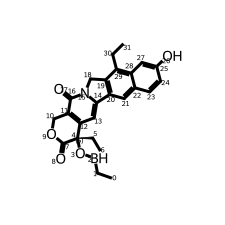 CCBO[C@]1(CC)C(=O)OCc2c1cc1n(c2=O)Cc2c-1cc1ccc(O)cc1c2CC